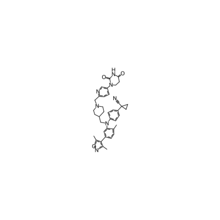 Cc1ccc(-c2c(C)noc2C)cc1N(CC1CCN(Cc2ccc(N3CCC(=O)NC3=O)cn2)CC1)c1ccc(C2(C#N)CC2)cc1